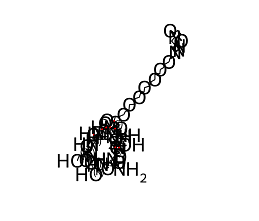 CC[C@H](C)[C@@H]1NC(=O)CNC(=O)[C@@H]2Cc3c([nH]c4c(CSCCOCCOCCOCCOCCOCCOCCOCCn5cc(CN6C(=O)C=CC6=O)nn5)c(OC)ccc34)[S+]([O-])C[C@H](NC(O)CNC1=O)C(=O)N[C@@H](CC(N)=O)C(=O)N1C[C@H](O)C[C@H]1C(=O)N[C@@H]([C@@H](C)[C@@H](O)CO)C(=O)N2